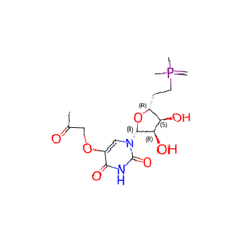 C=P(C)(C)CC[C@H]1O[C@@H](n2cc(OCC(C)=O)c(=O)[nH]c2=O)[C@H](O)[C@@H]1O